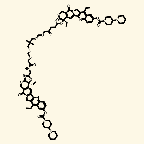 CCc1c2c(nc3ccc(OC(=O)N4CCC(N5CCCCC5)CC4)cc13)-c1cc3c(c(=O)n1C2)COC(=O)[C@@]3(CC)OC(=O)CCC(=O)COCOCC(C)(C)COCOCC(=O)NCC(=O)O[C@]1(CC)C(=O)OCc2c1cc1n(c2=O)Cc2c-1nc1ccc(OC(=O)N3CCC(N4CCCCC4)CC3)cc1c2CC